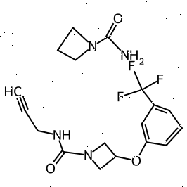 C#CCNC(=O)N1CC(Oc2cccc(C(F)(F)F)c2)C1.NC(=O)N1CCC1